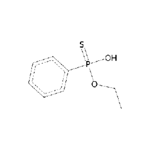 CCOP(O)(=S)c1ccccc1